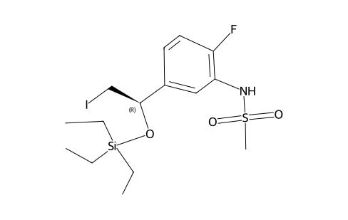 CC[Si](CC)(CC)O[C@@H](CI)c1ccc(F)c(NS(C)(=O)=O)c1